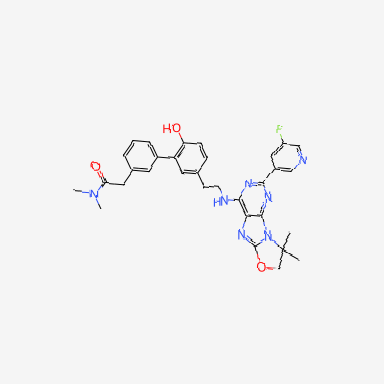 CN(C)C(=O)Cc1cccc(-c2cc(CCNc3nc(-c4cncc(F)c4)nc4c3nc3n4C(C)(C)CO3)ccc2O)c1